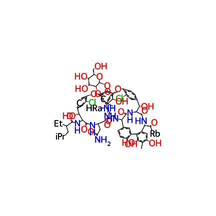 CCC(CC(C)C)C(=O)NC1C(=O)NC(CC(N)=O)C(=O)NC2C(=O)NC3C(=O)NC(C(=O)NC([C](=O)[Rb])c4cc(O)c(C)c(O)c4-c4cc3ccc4O)C(O)c3ccc(c(Cl)c3)Oc3cc2cc(c3OC2OC(CO)C(O)C(O)C2OC2CC(C)([NH][RaH])C(O)C(C)O2)Oc2ccc(cc2Cl)C1O